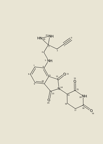 C#CCC1(CNc2cccc3c2C(=O)N(C2CCC(=O)NC2=O)C3=O)NN1